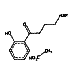 CC(=O)O.CCCCCCCCCCCCCC(=O)c1ccccc1O